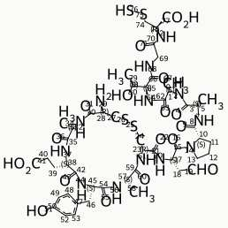 C[C@H](NC(=O)[C@H](C)NC(=O)[C@@H]1CCCN1C(=O)[C@H](CC=O)NC(=O)[C@@H]1CSSC[C@H](N)C(=O)N[C@@H](C)C(=O)N[C@@H](CCC(=O)O)C(=O)N[C@@H](Cc2ccc(O)cc2)C(=O)N[C@@H](C)C(=O)N1)C(=O)N[C@H](C(=O)NCC(=O)N[C@@H](CSS)C(=O)O)[C@H](C)O